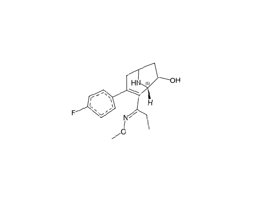 CCC(=NOC)C1=C(c2ccc(F)cc2)CC2CC(O)[C@H]1N2